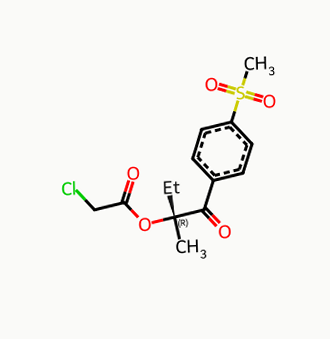 CC[C@@](C)(OC(=O)CCl)C(=O)c1ccc(S(C)(=O)=O)cc1